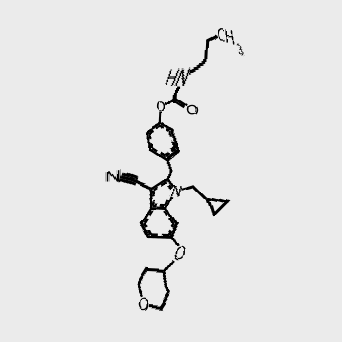 CCCNC(=O)Oc1ccc(-c2c(C#N)c3ccc(OC4CCOCC4)cc3n2CC2CC2)cc1